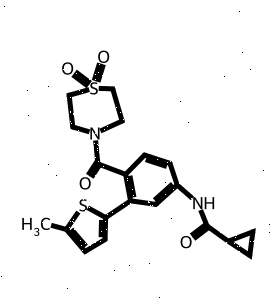 Cc1ccc(-c2cc(NC(=O)C3CC3)ccc2C(=O)N2CCS(=O)(=O)CC2)s1